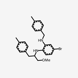 COCC(Cc1ccc(C)cc1)Nc1ccc(Br)cc1NCc1ccc(C)cc1